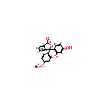 CC(C)(C)Oc1ccc2c(c1)Oc1cc(O)ccc1C21OC(=O)c2ccccc21